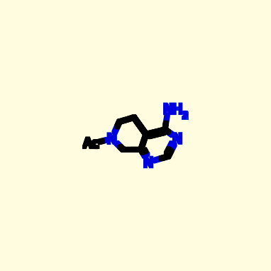 CC(=O)N1CCc2c(N)ncnc2C1